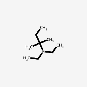 CCP(CC)C(C)(C)CC